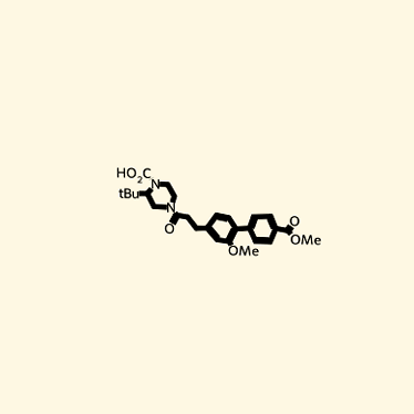 COC(=O)c1ccc(-c2ccc(CCC(=O)N3CCN(C(=O)O)C(C(C)(C)C)C3)cc2OC)cc1